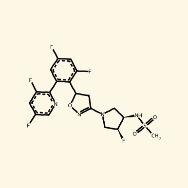 CS(=O)(=O)N[C@@H]1CN(C2=NOC(c3c(F)cc(F)cc3-c3ncc(F)cc3F)C2)C[C@@H]1F